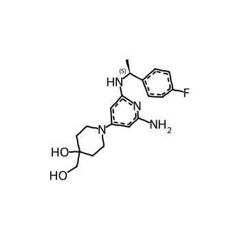 C[C@H](Nc1cc(N2CCC(O)(CO)CC2)cc(N)n1)c1ccc(F)cc1